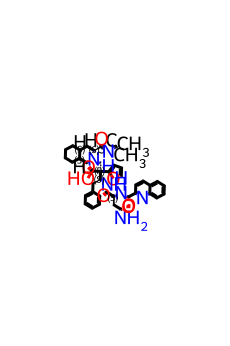 CC(C)(C)NC(=O)[C@@H]1C[C@@H]2CCCC[C@@H]2CN1C[C@](C(=O)O)(c1ccco1)[C@H](Cc1ccccc1)NC(=O)[C@H](CC(N)=O)NC(=O)c1ccc2ccccc2n1